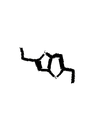 CCc1cc2sc(CC)cc2s1